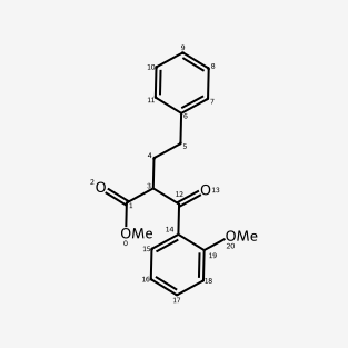 COC(=O)C(CCc1ccccc1)C(=O)c1ccccc1OC